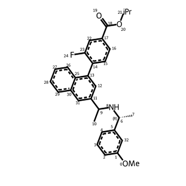 COc1cccc([C@@H](C)NC(C)c2cc(-c3ccc(C(=O)OC(C)C)cc3F)c3ccccc3c2)c1